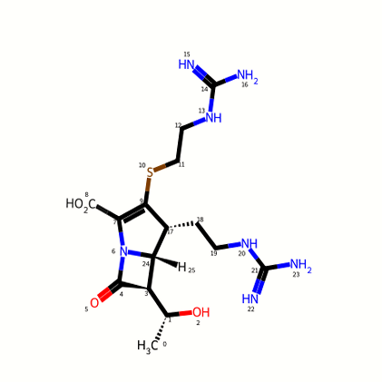 C[C@@H](O)[C@H]1C(=O)N2C(C(=O)O)=C(SCCNC(=N)N)[C@H](CCNC(=N)N)[C@H]12